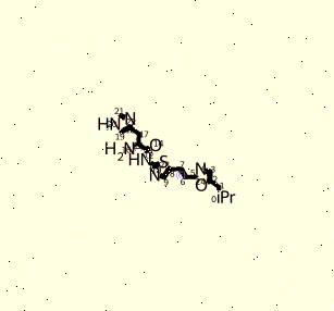 CC(C)Cc1cnc(/C=C/c2cnc(NC(=O)[C@@H](N)Cc3c[nH]cn3)s2)o1